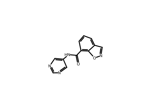 O=C(Nc1cncnc1)c1cccc2cnoc12